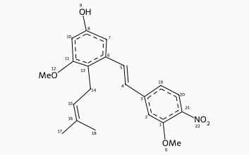 COc1cc(/C=C/c2cc(O)cc(OC)c2CC=C(C)C)ccc1[N+](=O)[O-]